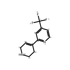 FC(F)(F)c1ccnc(C2=CCNCC2)c1